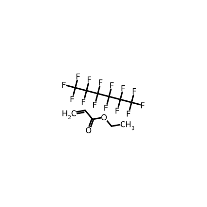 C=CC(=O)OCC.FC(F)(F)C(F)(F)C(F)(F)C(F)(F)C(F)(F)C(F)(F)F